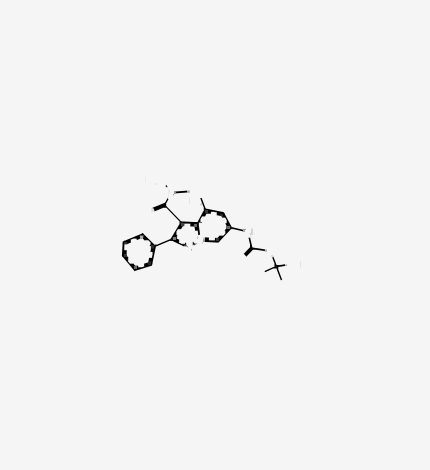 CN(C)C(=O)c1c(-c2ccccc2)nn2cc(NC(=O)OC(C)(C)C)cc(F)c12